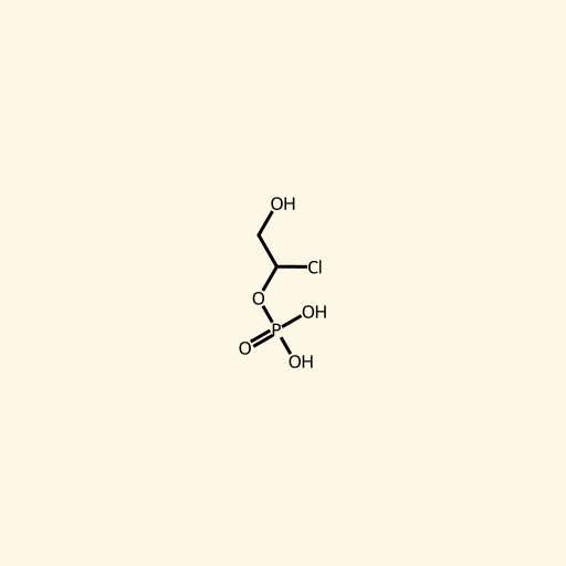 O=P(O)(O)OC(Cl)CO